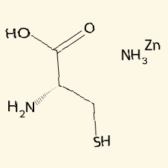 N.N[C@@H](CS)C(=O)O.[Zn]